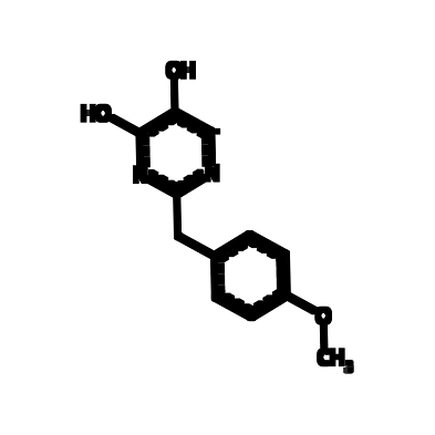 COc1ccc(Cc2n[c]c(O)c(O)n2)cc1